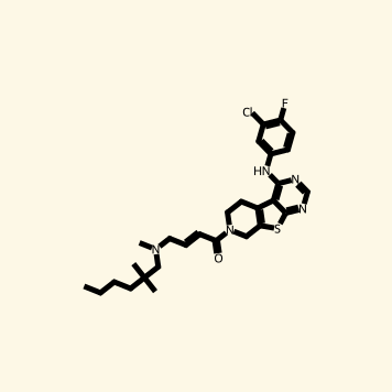 CCCCC(C)(C)CN(C)C/C=C/C(=O)N1CCc2c(sc3ncnc(Nc4ccc(F)c(Cl)c4)c23)C1